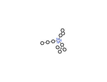 c1ccc(-c2ccc(-c3ccc(-c4nc(-c5ccc6c(c5)C(c5ccccc5)(c5ccccc5)c5ccccc5-6)nc(-c5ccc6c(ccc7ccccc76)c5)n4)cc3)cc2)cc1